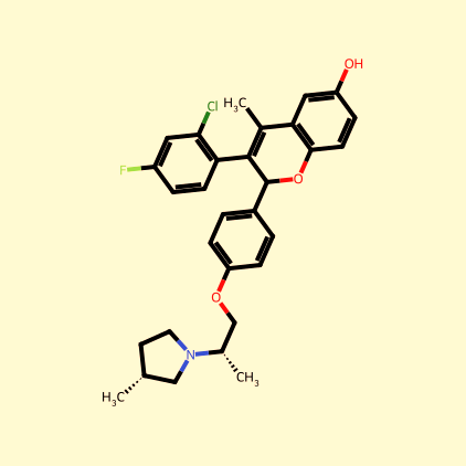 CC1=C(c2ccc(F)cc2Cl)C(c2ccc(OC[C@H](C)N3CC[C@@H](C)C3)cc2)Oc2ccc(O)cc21